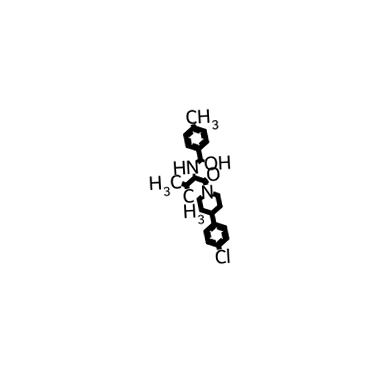 Cc1ccc([C@@H](O)N[C@@H](C(=O)N2CCC(c3ccc(Cl)cc3)CC2)C(C)C)cc1